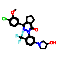 COc1cc(-c2nn(-c3cc(N4CCC(O)C4)ccc3C(F)(F)F)c(=O)c3c2CCC3)ccc1Cl